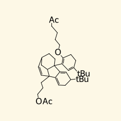 CC(=O)CCCCOC1=C(C23CCC4C=CC(CCCOC(C)=O)(C5=CCC(C(C)(C)C)C=C52)C3C4)C=C(C(C)(C)C)CC1